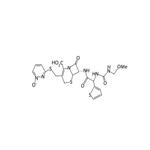 COCNC(=O)NC(C(=O)N[C@H]1C(=O)N2C(C(=O)O)=C(CSc3ccc[n+]([O-])n3)CSC12)c1cccs1